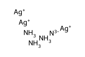 N.N.N.[Ag+].[Ag+].[Ag+].[N-3]